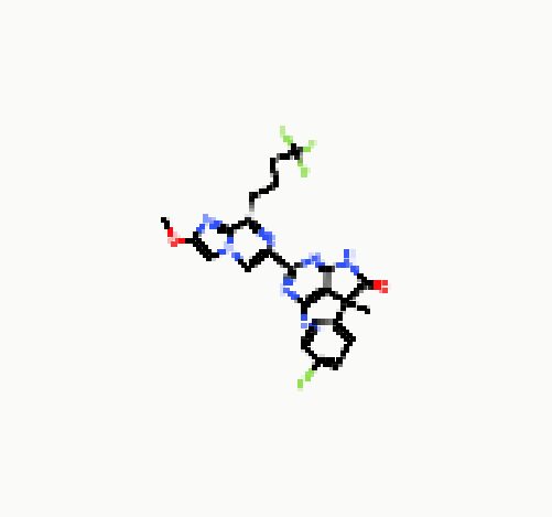 COc1cn2cc(-c3nc(N)c4c(n3)NC(=O)C4(C)c3ccc(F)cc3)nc(CCCC(F)(F)F)c2n1